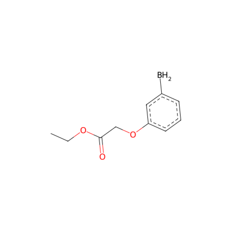 Bc1cccc(OCC(=O)OCC)c1